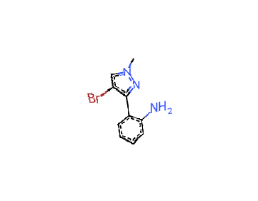 Cn1cc(Br)c(-c2ccccc2N)n1